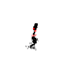 CC(C)CCC[C@@H](C)[C@H]1CC[C@H]2[C@@H]3CC=C4C[C@@H](OC(=O)CCCOc5ccc6cc7ccccc7cc6c5)CC[C@]4(C)[C@H]3CC[C@]12C